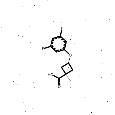 C[C@]1(C(=O)O)C[C@H](Oc2cc(F)cc(F)c2)C1